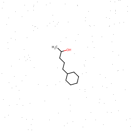 CC(O)CCCC1CC[CH]CC1